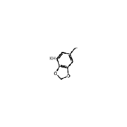 [CH2]c1ccc2c(c1)OCO2.[KH]